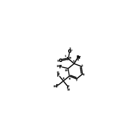 O=[N+]([O-])C1(Br)C=CC=C(C(F)(F)F)C1F